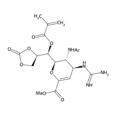 C=C(C)C(=O)O[C@@H]([C@@H]1OC(C(=O)OC)=C[C@H](NC(=N)N)[C@H]1NC(C)=O)[C@H]1COC(=O)O1